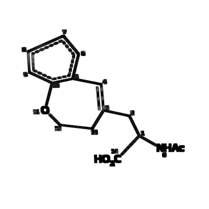 CC(=O)NC(CC1=Cc2ccccc2OCC1)C(=O)O